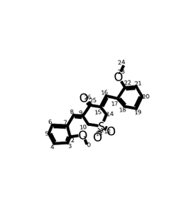 COc1ccccc1C=C1CS(=O)(=O)CC(=Cc2ccccc2OC)C1=O